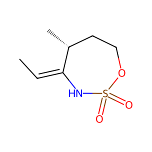 C/C=C1/NS(=O)(=O)OCC[C@H]1C